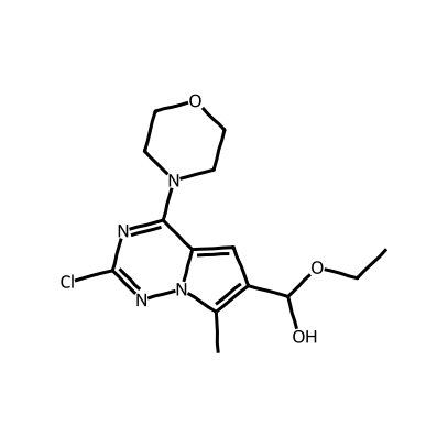 CCOC(O)c1cc2c(N3CCOCC3)nc(Cl)nn2c1C